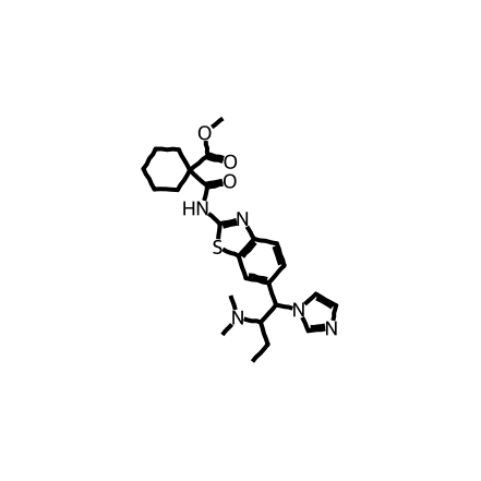 CCC(C(c1ccc2nc(NC(=O)C3(C(=O)OC)CCCCC3)sc2c1)n1ccnc1)N(C)C